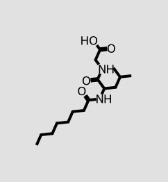 CCCCCCCC(=O)NC(CC(C)C)C(=O)NCC(=O)O